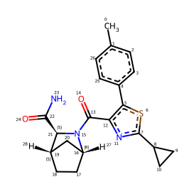 Cc1ccc(-c2sc(C3CC3)nc2C(=O)N2[C@@H]3CC[C@@H](C3)[C@H]2C(N)=O)cc1